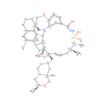 CO[C@@]1(CN2CCN3C[C@H](C)OC[C@@H]3C2)/C=C/C[C@H](C)[C@@H](C)S(=O)(=O)NC(=O)c2ccc3c(c2)N(C[C@@H]2CC[C@H]21)C[C@@]1(CCCc2cc(Cl)ccc21)CO3